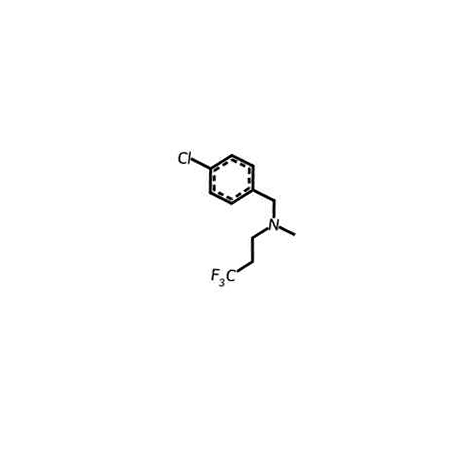 CN(CCC(F)(F)F)Cc1ccc(Cl)cc1